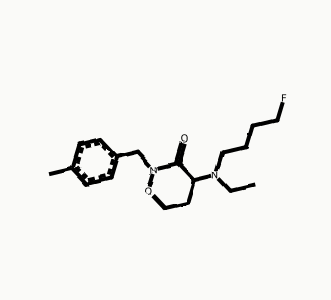 CCN(CCCCF)C1CCON(Cc2ccc(C)cc2)C1=O